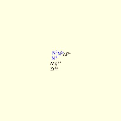 [Al+3].[Mg+2].[N-3].[N-3].[N-3].[Zr+4]